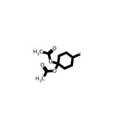 CC(=O)OC1(OC(C)=O)CCC(I)CC1